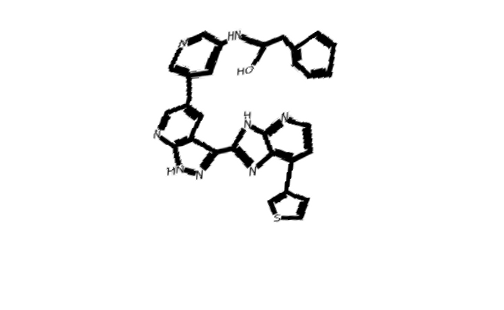 OC(Cc1ccccc1)Nc1cncc(-c2cnc3[nH]nc(-c4nc5c(-c6ccsc6)ccnc5[nH]4)c3c2)c1